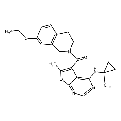 Cc1oc2ncnc(NC3(C)CC3)c2c1C(=O)N1CCc2ccc(OCP)cc2C1